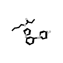 CCCCOC(=O)CC.O.Oc1ccccc1.c1cc[nH]c1.c1ccncc1